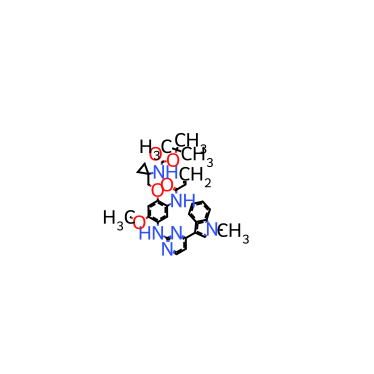 C=CC(=O)Nc1cc(Nc2nccc(-c3cn(C)c4ccccc34)n2)c(OC)cc1OCC1(NC(=O)OC(C)(C)C)CC1